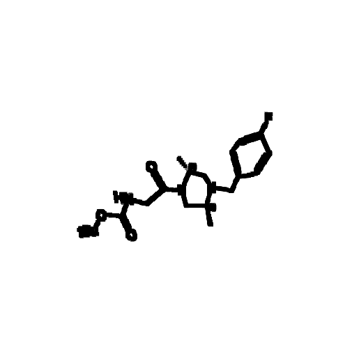 C[C@@H]1CN(Cc2ccc(F)cc2)[C@@H](C)CN1C(=O)CNC(=O)OC(C)(C)C